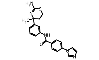 CC1(c2cccc(NC(=O)c3ccc(-n4ccnc4)cc3)c2)CCSC(N)=N1